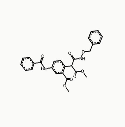 COC(=O)c1cc(NC(=O)c2ccccc2)ccc1C(C(=O)NOCc1ccccc1)C(=O)OC